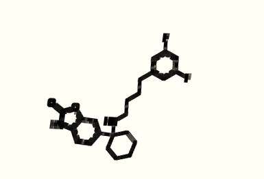 O=c1[nH]c2ccc(C3(NCCCCc4cc(F)cc(F)c4)CCCCC3)cc2o1